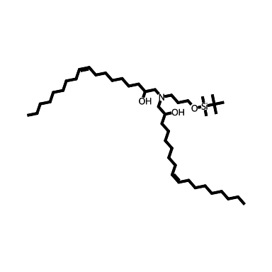 CCCCCCCC/C=C\CCCCCCC(O)CN(CCCO[Si](C)(C)C(C)(C)C)CC(O)CCCCCC/C=C\CCCCCCCC